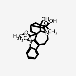 COC(=O)C12CC3CC(O)(C(C)O)C1N(CCc1c2n(C)c2ccccc12)C3=O